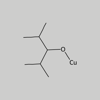 CC(C)C([O][Cu])C(C)C